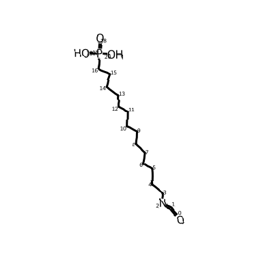 O=C=NCCCCCCCCCCCCCCP(=O)(O)O